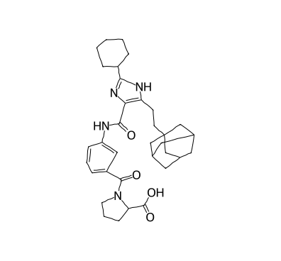 O=C(Nc1cccc(C(=O)N2CCCC2C(=O)O)c1)c1nc(C2CCCCC2)[nH]c1CCC12CC3CC(CC(C3)C1)C2